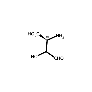 N[C@H](C(=O)O)C(O)C=O